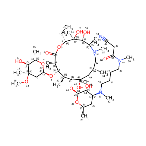 CC[C@H]1OC(=O)[C@H](C)[C@@H](O[C@H]2C[C@@](C)(OC)[C@@H](O)[C@H](C)O2)[C@H](C)[C@@H](O[C@@H]2O[C@H](C)C[C@H](N(C)CCCCN(C)C(=O)CC#N)[C@H]2O)[C@](C)(O)C[C@@H](C)CN(C)[C@H](C)[C@@H](O)[C@]1(C)O